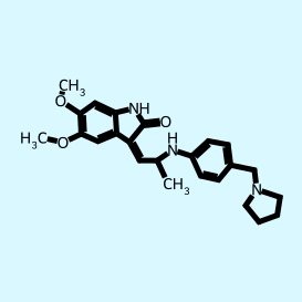 COc1cc2c(cc1OC)C(=CC(C)Nc1ccc(CN3CCCC3)cc1)C(=O)N2